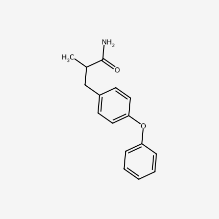 CC(Cc1ccc(Oc2ccccc2)cc1)C(N)=O